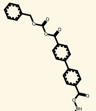 CBOC(=O)c1ccc(-c2ccc(C(=O)OC(=O)OCc3ccccc3)cc2)cc1